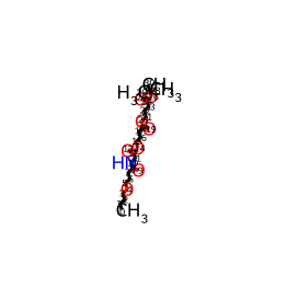 CCCCOCCCC(=O)NCC(=O)OCCCC(=O)OCCCC(=O)OC(C)(C)C